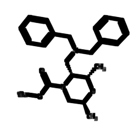 C[C@@H]1O[C@@H](C)CN(C(=O)OC(C)(C)C)[C@@H]1CN(Cc1ccccc1)Cc1ccccc1